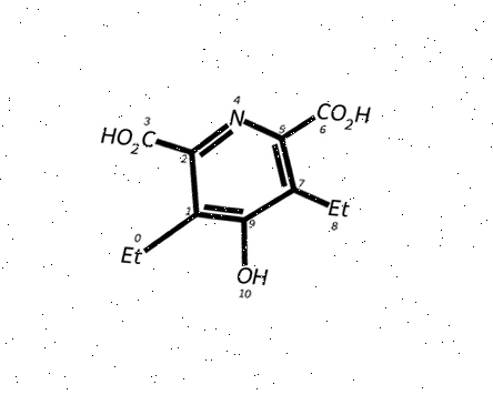 CCc1c(C(=O)O)nc(C(=O)O)c(CC)c1O